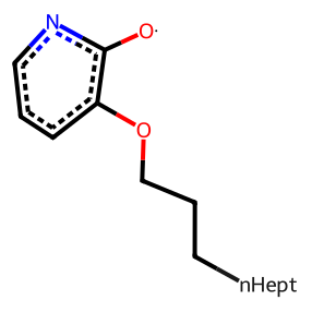 CCCCCCCCCCOc1cccnc1[O]